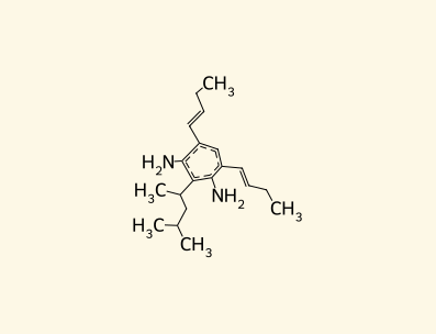 CCC=Cc1cc(C=CCC)c(N)c(C(C)CC(C)C)c1N